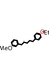 CCOc1ccc(CCC[CH]Cc2cccc(OC)c2)cc1